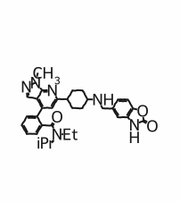 CCN(C(=O)c1ccccc1-c1cc(C2CCC(NCc3ccc4oc(=O)[nH]c4c3)CC2)nc2c1cnn2C)C(C)C